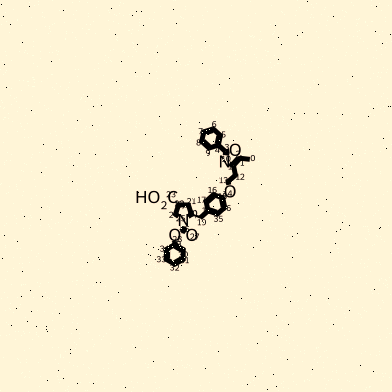 Cc1oc(-c2ccccc2)nc1CCOc1ccc(C[C@@H]2C[C@H](C(=O)O)CN2C(=O)Oc2ccccc2)cc1